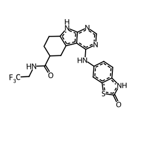 O=C(NCC(F)(F)F)C1CCc2[nH]c3ncnc(Nc4ccc5[nH]c(=O)sc5c4)c3c2C1